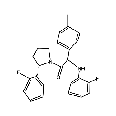 Cc1ccc(C(Nc2ccccc2F)C(=O)N2CCC[C@H]2c2ccccc2F)cc1